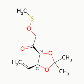 C=C[C@@H]1OC(C)(C)O[C@@H]1C(=O)COSC